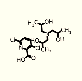 CC(O)CN(CC(C)O)CC(C)O.O=C(O)c1nc(Cl)ccc1Cl